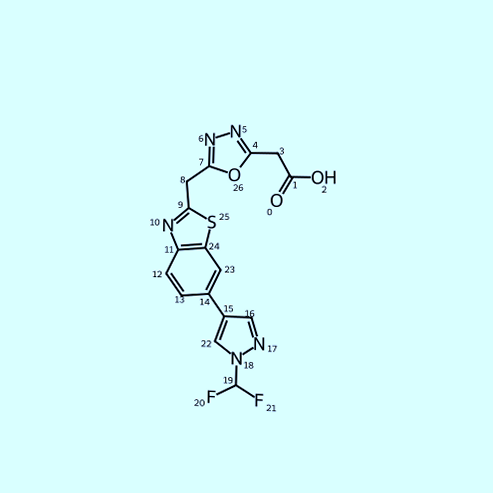 O=C(O)Cc1nnc(Cc2nc3ccc(-c4cnn(C(F)F)c4)cc3s2)o1